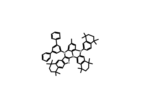 Cc1cc2c3c(c1)N(c1cc(-c4ccccc4)cc(-c4ccccc4)c1)c1c(sc4cc5c(cc14)C(C)(C)CCC5(C)C)B3c1cc3c(cc1N2c1ccc2c(c1)C(C)(C)CCC2(C)C)C(C)(C)CCC3(C)C